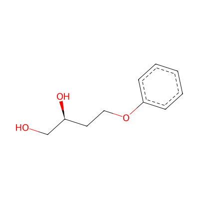 OC[C@@H](O)CCOc1ccccc1